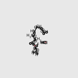 CN(CCN1CCC(OC(=O)Nc2ccccc2-c2ccccc2)CC1)C(=O)CCCNc1ccc(C(=O)N(C)CCCN(C)C(=O)CO[C@H]2Cc3ccccc3C23CCN(CC[C@@]2(c4ccc(F)cc4)CN(C(=O)c4cc(C(F)(F)F)cc(C(F)(F)F)c4)CO2)CC3)cc1.Cl.Cl.Cl